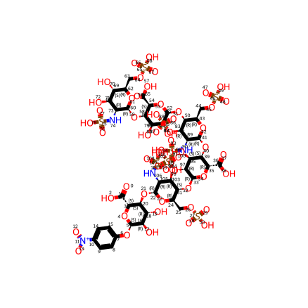 O=C(O)[C@H]1O[C@@H](Oc2ccc([N+](=O)[O-])cc2)[C@H](O)[C@@H](O)[C@@H]1O[C@H]1O[C@H](COS(=O)(=O)O)[C@@H](O[C@@H]2O[C@@H](C(=O)O)[C@@H](O[C@H]3O[C@H](COS(=O)(=O)O)[C@@H](O[C@@H]4O[C@H](C(=O)O)[C@@H](O[C@H]5O[C@H](COS(=O)(=O)O)[C@@H](O)[C@H](O)[C@H]5NS(=O)(=O)O)[C@H](O)[C@H]4O)[C@H](OS(=O)(=O)O)[C@H]3NS(=O)(=O)O)[C@H](O)[C@H]2OS(=O)(=O)O)[C@H](O)[C@H]1NS(=O)(=O)O